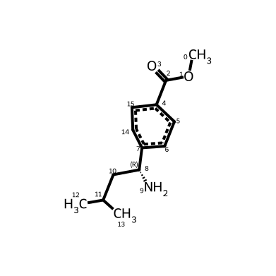 COC(=O)c1ccc([C@H](N)CC(C)C)cc1